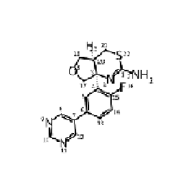 NC1=N[C@@]2(c3cc(-c4cncnc4)ccc3F)COC[C@H]2CS1